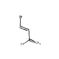 C=C(Cl)C=CBr